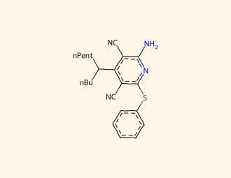 CCCCCC(CCCC)c1c(C#N)c(N)nc(Sc2ccccc2)c1C#N